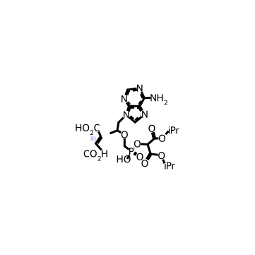 CC(C)OC(=O)C(OP(=O)(O)COC(C)Cn1cnc2c(N)ncnc21)C(=O)OC(C)C.O=C(O)/C=C/C(=O)O